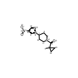 CC1(C(=O)N2CCC(n3cc([N+](=O)[O-])cn3)CC2)CC1